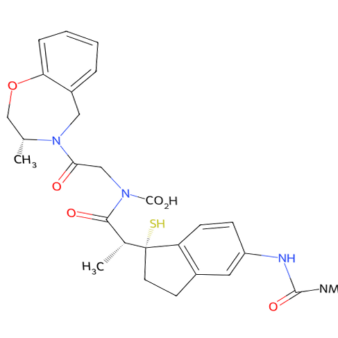 CNC(=O)Nc1ccc2c(c1)CC[C@@]2(S)[C@H](C)C(=O)N(CC(=O)N1Cc2ccccc2OC[C@H]1C)C(=O)O